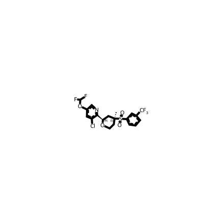 C[C@]1(S(=O)(=O)c2cccc(C(F)(F)F)c2)CCO[C@@H](c2ncc(OC(F)F)cc2Cl)C1